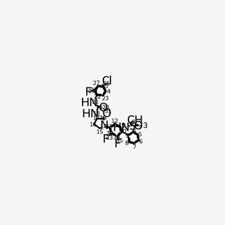 CS(=N)(=O)c1ccccc1-c1ccc(N2CC[C@@H](NC(=O)Nc3ccc(Cl)cc3F)C2=O)c(F)c1F